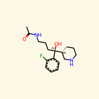 CC(=O)NCCC[C@@](O)(c1ccccc1F)[C@@H]1CCCNC1